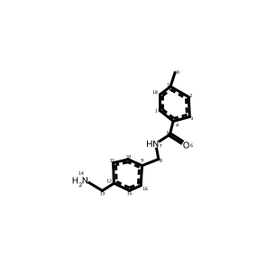 Cc1ccc(C(=O)NCc2ccc(CN)cc2)cc1